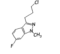 Cn1nc(CCCCl)c2ccc(F)cc21